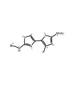 CCC(C)Nc1nc(-c2sc(NC(C)=O)nc2C)cs1